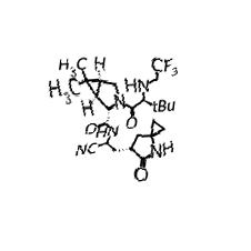 CC(C)(C)[C@H](NCC(F)(F)F)C(=O)N1C[C@H]2[C@@H]([C@H]1C(=O)N[C@H](C#N)C[C@@H]1CC3(CC3)NC1=O)C2(C)C